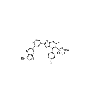 CCc1cnn2cc(-c3cc(-c4nc5cc(C)c([C@H](OC(C)(C)C)C(=O)O)c(-c6ccc(Cl)cc6)c5s4)ccn3)cnc12